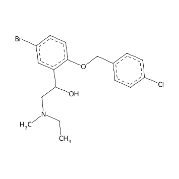 CCN(C)CC(O)c1cc(Br)ccc1OCc1ccc(Cl)cc1